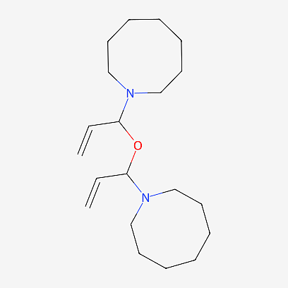 C=CC(OC(C=C)N1CCCCCCC1)N1CCCCCCC1